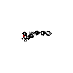 CN1CCN(C2CCN(c3ccc(Nc4cc5c(cn4)cc(C(=O)N(C)C)n5C4CCCC4)nc3)CC2)CC1